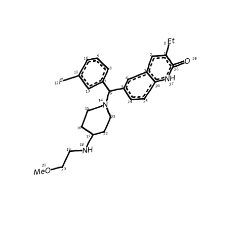 CCc1cc2cc(C(c3cccc(F)c3)N3CCC(NCCOC)CC3)ccc2[nH]c1=O